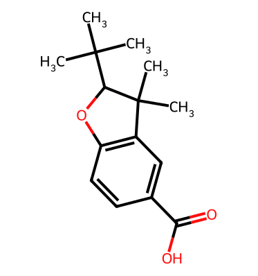 CC(C)(C)C1Oc2ccc(C(=O)O)cc2C1(C)C